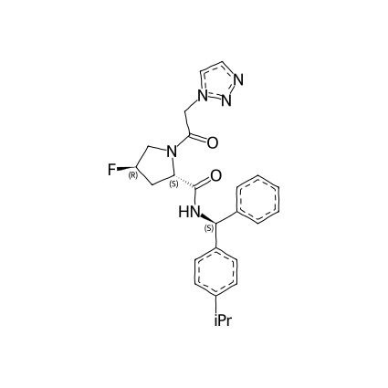 CC(C)c1ccc([C@@H](NC(=O)[C@@H]2C[C@@H](F)CN2C(=O)Cn2ccnn2)c2ccccc2)cc1